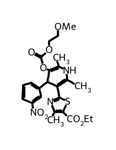 CCOC(=O)c1sc(C2=C(C)NC(C)=C(OC(=O)OCCOC)C2c2cccc([N+](=O)[O-])c2)nc1C